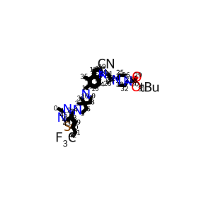 Cc1nc(N2CCC3(CCN(Cc4ccc5c(cc(C#N)n5C[C@H](C)N5CCN(C(=O)OC(C)(C)C)CC5)c4C)C3)C2)c2cc(CC(F)(F)F)sc2n1